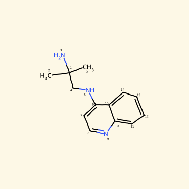 CC(C)(N)CNc1ccnc2ccccc12